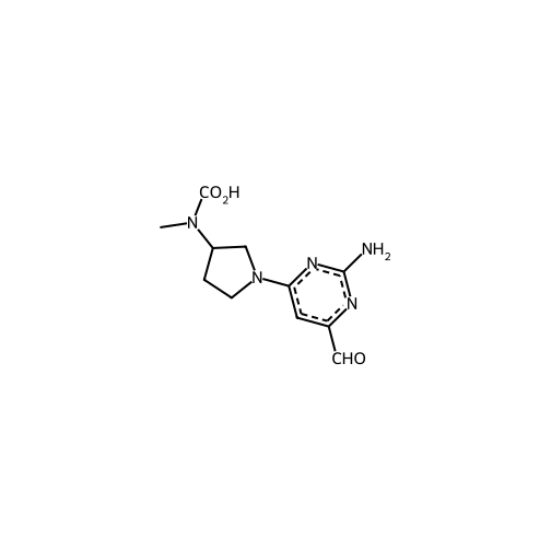 CN(C(=O)O)C1CCN(c2cc(C=O)nc(N)n2)C1